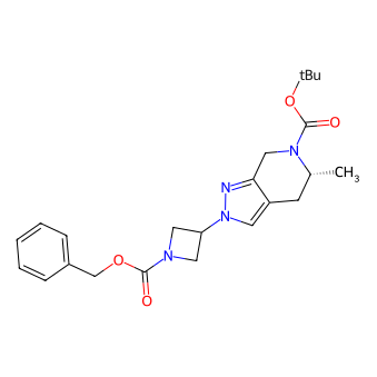 C[C@@H]1Cc2cn(C3CN(C(=O)OCc4ccccc4)C3)nc2CN1C(=O)OC(C)(C)C